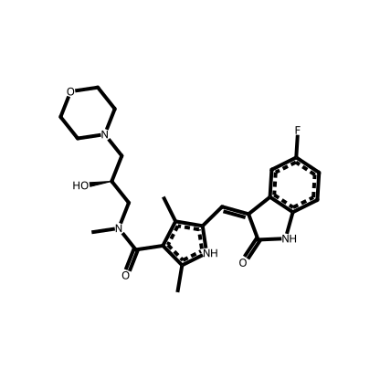 Cc1[nH]c(/C=C2\C(=O)Nc3ccc(F)cc32)c(C)c1C(=O)N(C)C[C@@H](O)CN1CCOCC1